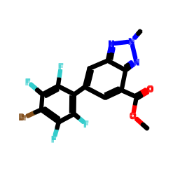 COC(=O)c1cc(-c2c(F)c(F)c(Br)c(F)c2F)cc2nn(C)nc12